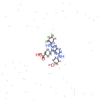 COc1ccc(Nc2ncc3nc(Nc4ccc(F)cc4F)n([C@H]4CC[C@@H](C(=O)O)CC4)c3n2)cc1